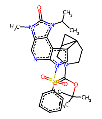 CC(C)n1c(=O)n(C)c2cnc3c(c(C45CCN(C(=O)OC(C)(C)C)CC4C5)cn3S(=O)(=O)c3ccccc3)c21